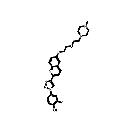 CN1CCN(CCOCCOc2ccc3nc(-c4cn(-c5ccc(O)c(F)c5)nn4)ccc3c2)CC1